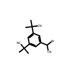 CC(C)(C#N)c1cc(C(Br)C#N)cc(C(C)(C)C#N)c1